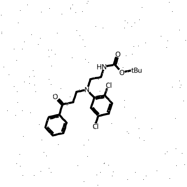 CC(C)(C)OC(=O)NCCN(CCC(=O)c1ccccc1)c1cc(Cl)ccc1Cl